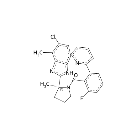 Cc1c(Cl)ccc2[nH]c([C@]3(C)CCCN3C(=O)c3c(F)cccc3-c3ccccn3)nc12